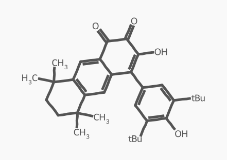 CC(C)(C)c1cc(C2=C(O)C(=O)C(=O)c3cc4c(cc32)C(C)(C)CCC4(C)C)cc(C(C)(C)C)c1O